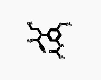 COc1cc(NC(C)=O)cc(N(CCO)C(C)C#N)c1